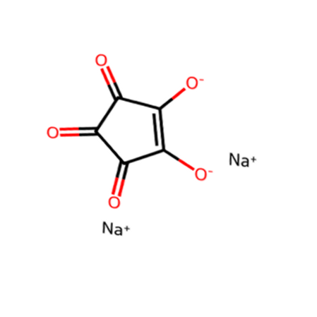 O=c1c([O-])c([O-])c(=O)c1=O.[Na+].[Na+]